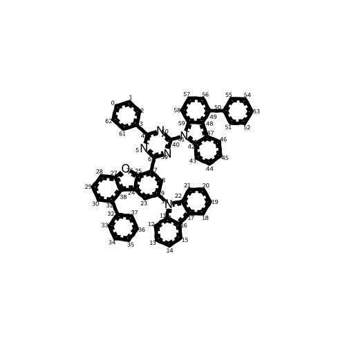 c1ccc(-c2nc(-c3cc(-n4c5ccccc5c5ccccc54)cc4c3oc3cccc(-c5ccccc5)c34)nc(-n3c4ccccc4c4c(-c5ccccc5)cccc43)n2)cc1